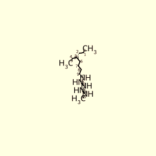 CCC[C@@H](CC)CCCCNNNNNC